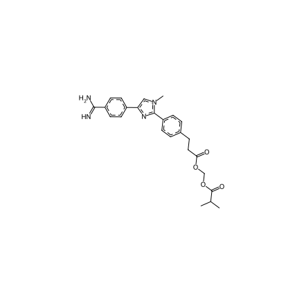 CC(C)C(=O)OCOC(=O)CCc1ccc(-c2nc(-c3ccc(C(=N)N)cc3)cn2C)cc1